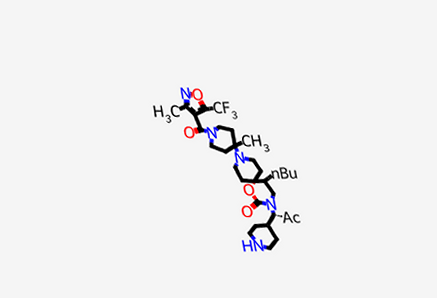 CCCCC1CN([C@H](C(C)=O)C2CCNCC2)C(=O)OC12CCN(C1(C)CCN(C(=O)c3c(C)noc3C(F)(F)F)CC1)CC2